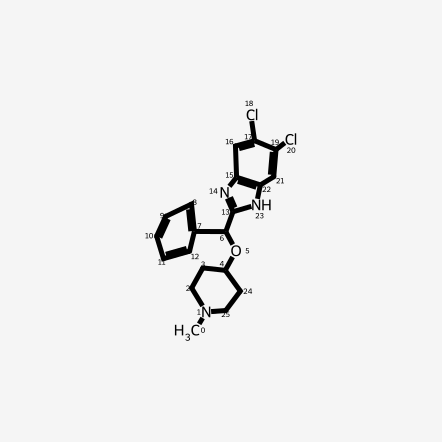 CN1CCC(OC(c2ccccc2)c2nc3cc(Cl)c(Cl)cc3[nH]2)CC1